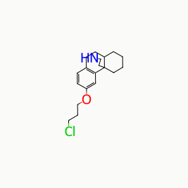 ClCCCOc1ccc2c(c1)C13CCCCC1C(C2)NCC3